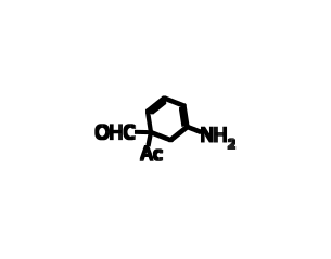 CC(=O)C1(C=O)C=CC=C(N)C1